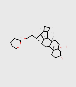 C[C@]12CC[C@H]3[C@@H](CC[C@]4(O)C[C@@H](O)CC[C@]34C)[C@@H]1[C@@H]1CC[C@@H]1[C@@]2(O)CCCOC1CCCCO1